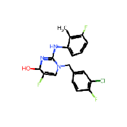 Cc1c(F)cccc1NC1=NC(O)C(F)=CN1Cc1ccc(F)c(Cl)c1